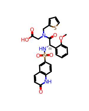 COc1ccccc1[C@H](NS(=O)(=O)c1ccc2[nH]c(=O)ccc2c1)C(=O)N(CC(=O)O)Cc1cccs1